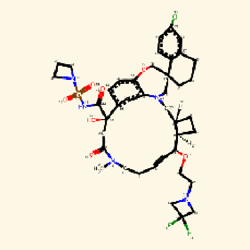 CN1CC/C=C/[C@H](OCCN2CC(F)(F)C2)[C@@H]2CC[C@H]2CN2C[C@@]3(CCCc4cc(Cl)ccc43)COc3ccc(cc32)[C@@](O)(C(=O)NS(=O)(=O)N2CCC2)CC1=O